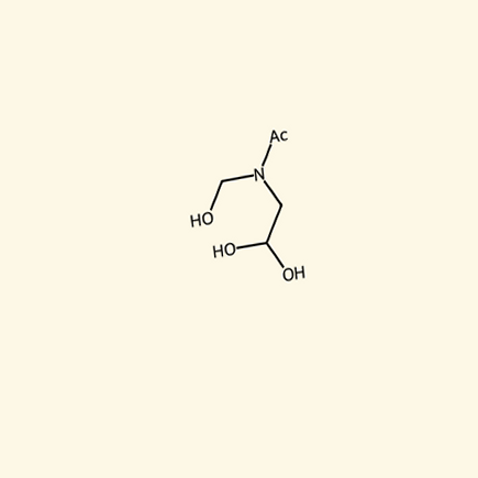 CC(=O)N(CO)CC(O)O